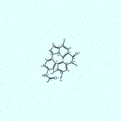 CC(=O)Nc1ccc(-c2cnc3c(C)nc(C(=O)N(C)c4ccc(F)c(F)c4)cn23)cn1